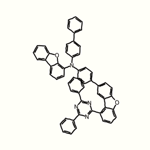 c1ccc(-c2ccc(N(c3ccc(-c4ccc5oc6cccc(-c7nc(-c8ccccc8)nc(-c8ccccc8)n7)c6c5c4)cc3)c3cccc4c3oc3ccccc34)cc2)cc1